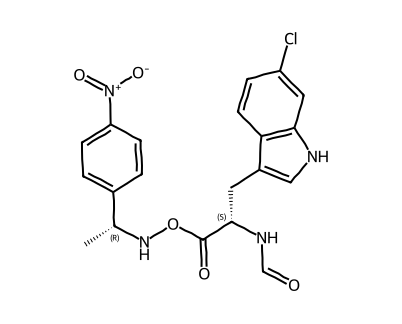 C[C@@H](NOC(=O)[C@H](Cc1c[nH]c2cc(Cl)ccc12)NC=O)c1ccc([N+](=O)[O-])cc1